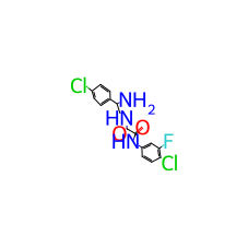 NC(CNC(=O)C(=O)Nc1ccc(Cl)c(F)c1)c1ccc(Cl)cc1